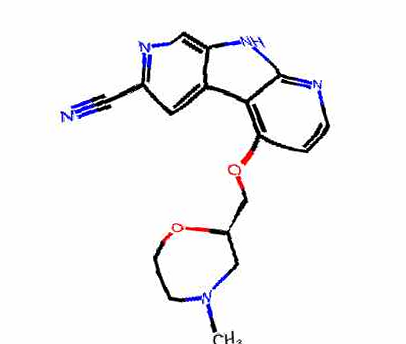 CN1CCO[C@@H](COc2ccnc3[nH]c4cnc(C#N)cc4c23)C1